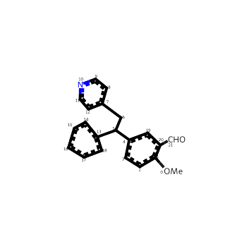 COc1ccc(C(Cc2ccncc2)c2ccccc2)cc1C=O